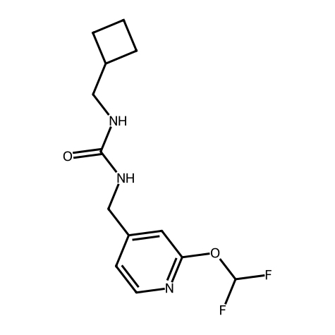 O=C(NCc1ccnc(OC(F)F)c1)NCC1CCC1